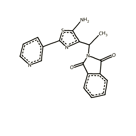 CC(c1nc(-c2cccnc2)sc1N)N1C(=O)c2ccccc2C1=O